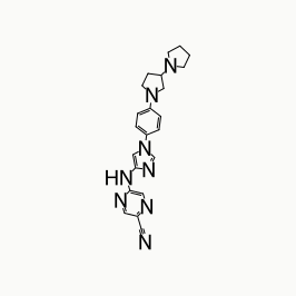 N#Cc1cnc(Nc2cn(-c3ccc(N4CCC(N5CCCC5)C4)cc3)cn2)cn1